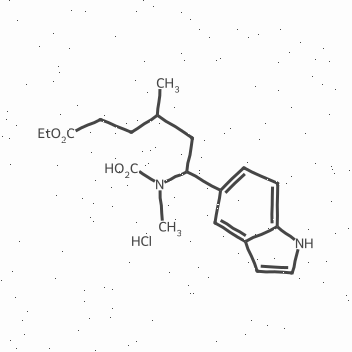 CCOC(=O)CCC(C)CC(c1ccc2[nH]ccc2c1)N(C)C(=O)O.Cl